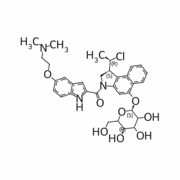 C[C@@H](Cl)[C@@H]1CN(C(=O)c2cc3cc(OCCN(C)C)ccc3[nH]2)c2cc(O[C@@H]3OC(CO)[C@H](O)C(O)C3O)c3ccccc3c21